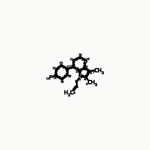 C=CCn1c(C)c(C)c2nccc(-c3ccc(F)cc3)c21